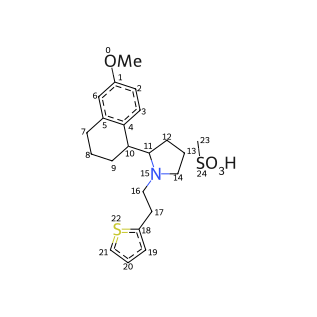 COc1ccc2c(c1)CCCC2C1CCCN1CCc1cccs1.CS(=O)(=O)O